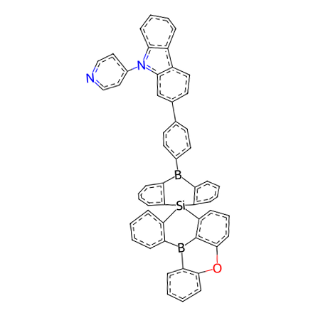 c1ccc2c(c1)Oc1cccc3c1B2c1ccccc1[Si]31c2ccccc2B(c2ccc(-c3ccc4c5ccccc5n(-c5ccncc5)c4c3)cc2)c2ccccc21